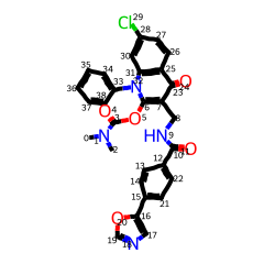 CN(C)C(=O)Oc1c(CNC(=O)c2ccc(-c3cnco3)cc2)c(=O)c2ccc(Cl)cc2n1-c1ccccc1